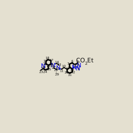 CCOC(=O)c1nnn2c1ccc1c(CCN3CCN(c4cccc5nc(C)ccc45)C[C@H]3C)cccc12